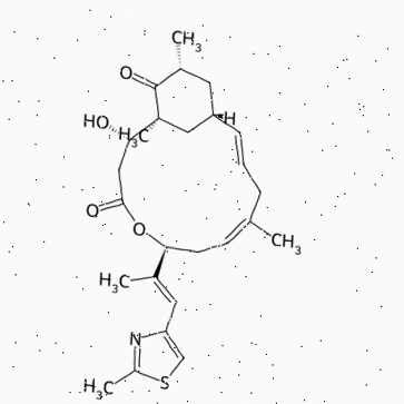 C/C1=C/C[C@@H](/C(C)=C/c2csc(C)n2)OC(=O)C[C@H](O)[C@]2(C)C[C@@H](/C=C/C1)C[C@@H](C)C2=O